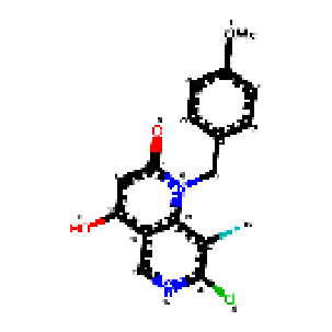 COc1ccc(Cn2c(=O)cc(O)c3cnc(Cl)c(F)c32)cc1